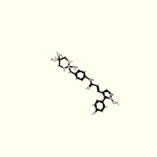 Cn1ncc(C=CC(=O)Nc2ccc(C[P]3(O)OCC(C)(C)CO3)cc2)c1-c1ccc(F)cc1